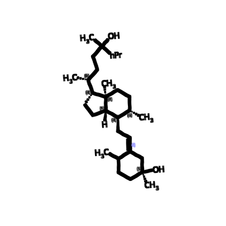 CCCC(C)(O)CC[C@@H](C)[C@H]1CC[C@H]2[C@H](C/C=C3/C[C@@](C)(O)CCC3C)[C@@H](C)CC[C@]12C